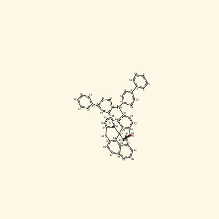 c1ccc(-c2ccc(N(c3ccc(-c4ccccc4)cc3)c3ccc4c(c3)C3(c5ccccc5Sc5ccc6ccccc6c53)c3ccccc3-4)cc2)cc1